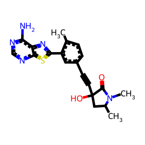 Cc1ccc(C#CC2(O)CC(C)N(C)C2=O)cc1-c1nc2c(N)ncnc2s1